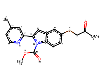 COC(=O)CSc1ccc2c(c1)cc(-c1cc(C(C)(C)C)ccn1)n2C(=O)OC(C)(C)C